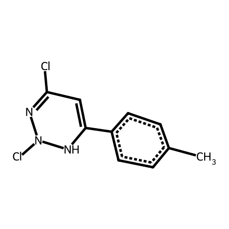 Cc1ccc(C2=CC(Cl)=NN(Cl)N2)cc1